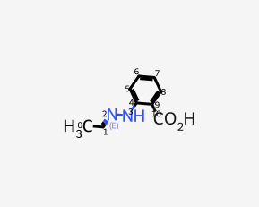 C/C=N/Nc1ccccc1C(=O)O